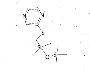 C[Si](C)(C)O[Si](C)(C)CSc1cnccn1